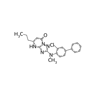 CCCc1cc(=O)n2nc(N(C)c3ccc(-c4ccccc4)cc3Cl)nc2[nH]1